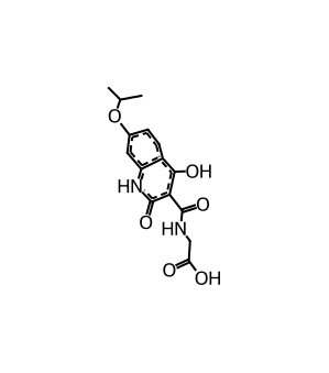 CC(C)Oc1ccc2c(O)c(C(=O)NCC(=O)O)c(=O)[nH]c2c1